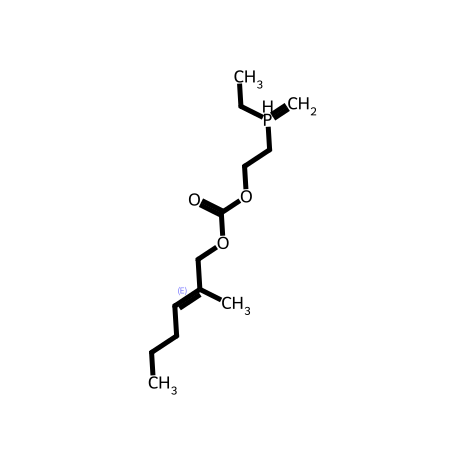 C=[PH](CC)CCOC(=O)OC/C(C)=C/CCC